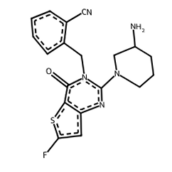 N#Cc1ccccc1Cn1c(N2CCCC(N)C2)nc2cc(F)sc2c1=O